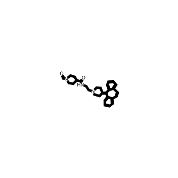 O=CN1CCC(C(=O)NCCN2CCC(=C3c4ccccc4C=Cc4ccccc43)CC2)CC1